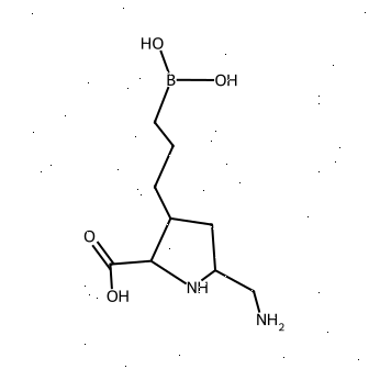 NCC1CC(CCCB(O)O)C(C(=O)O)N1